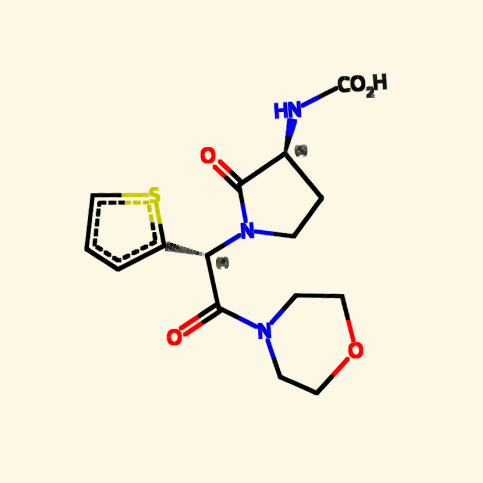 O=C(O)N[C@H]1CCN([C@H](C(=O)N2CCOCC2)c2cccs2)C1=O